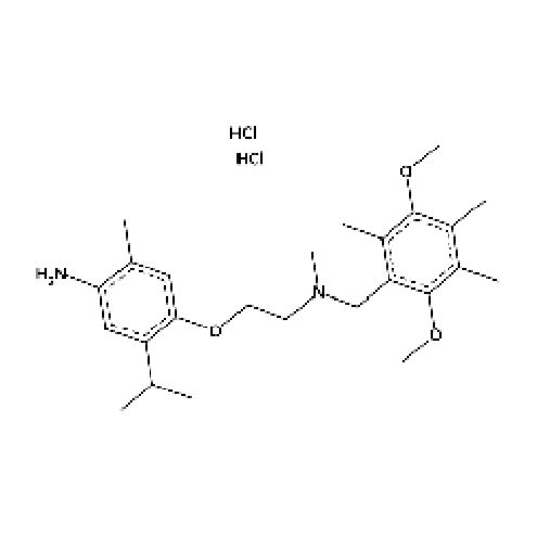 COc1c(C)c(C)c(OC)c(CN(C)CCOc2cc(C)c(N)cc2C(C)C)c1C.Cl.Cl